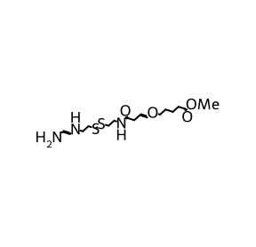 COC(=O)CCCCOC=CCC(=O)NCCSSCCNC=CN